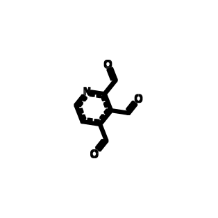 O=Cc1ccnc(C=O)c1C=O